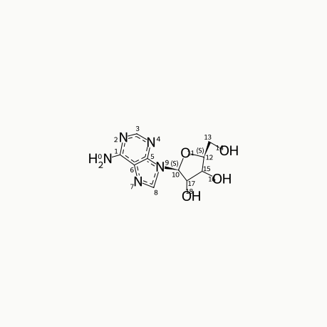 Nc1ncnc2c1ncn2[C@H]1O[C@@H](CO)C(O)C1O